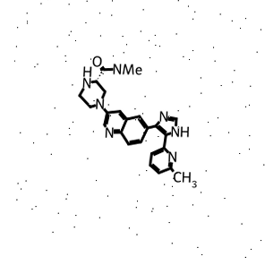 CNC(=O)[C@@H]1CN(c2cnc3ccc(-c4nc[nH]c4-c4cccc(C)n4)cc3c2)CCN1